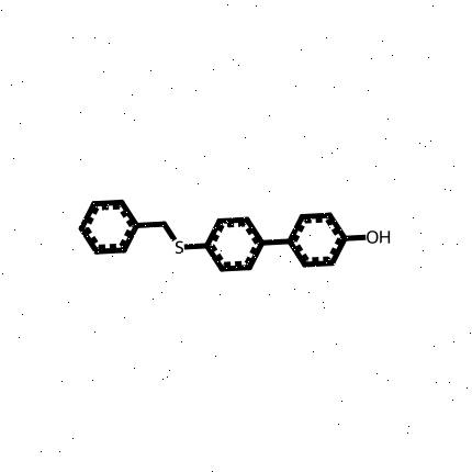 Oc1ccc(-c2ccc(SCc3ccccc3)cc2)cc1